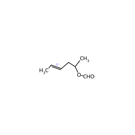 C/C=C/CC(C)O[C]=O